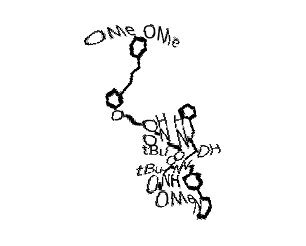 COC(=O)N[C@H](C(=O)NN(Cc1ccc(-c2ccccn2)cc1)C[C@H](O)[C@H](Cc1ccccc1)NC(=O)[C@@H](NC(=O)OCCOc1cccc(CCCc2ccc(OC)c(OC)c2)c1)C(C)(C)C)C(C)(C)C